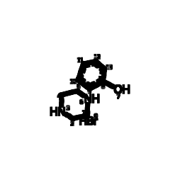 Br.C1CNCCN1.Oc1ccccc1